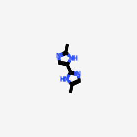 Cc1cnc(-c2cnc(C)[nH]2)[nH]1